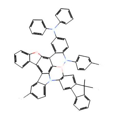 CC(C)(C)c1ccc(N2B3c4cc5c(cc4-n4c6ccc(C(C)(C)C)cc6c6c7c(oc8ccccc87)c(c3c64)-c3cc(N(c4ccccc4)c4ccccc4)ccc32)-c2ccccc2C5(C)C)cc1